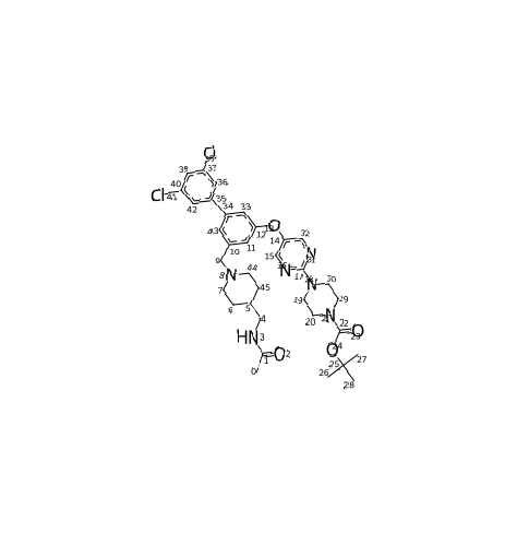 CC(=O)NCC1CCN(Cc2cc(Oc3cnc(N4CCN(C(=O)OC(C)(C)C)CC4)nc3)cc(-c3cc(Cl)cc(Cl)c3)c2)CC1